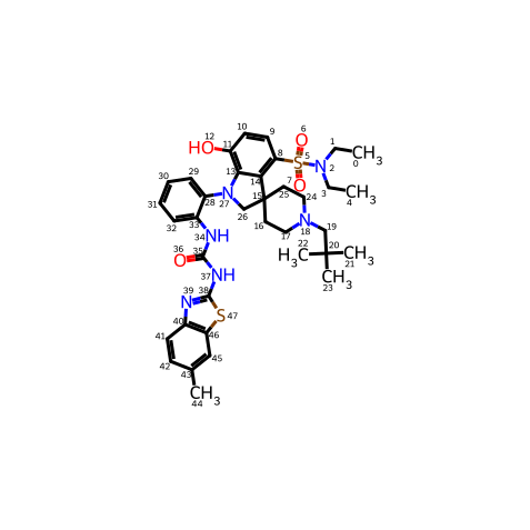 CCN(CC)S(=O)(=O)c1ccc(O)c2c1C1(CCN(CC(C)(C)C)CC1)CN2c1ccccc1NC(=O)Nc1nc2ccc(C)cc2s1